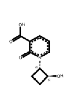 O=C(O)c1cccn([C@H]2CC[C@@H]2O)c1=O